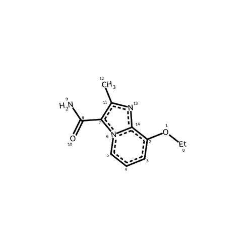 CCOc1cccn2c(C(N)=O)c(C)nc12